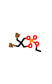 CCOP1(=O)OCC(CBr)(CBr)CO1